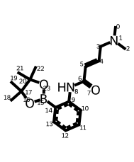 CN(C)CC=CC(=O)Nc1ccccc1B1OC(C)(C)C(C)(C)O1